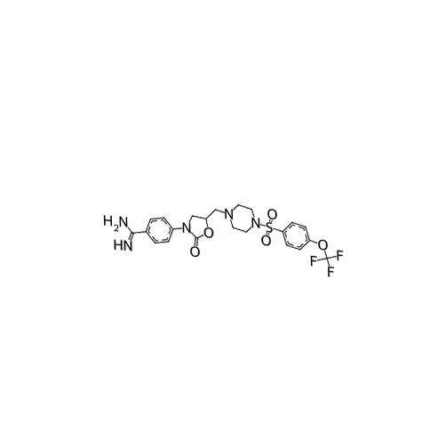 N=C(N)c1ccc(N2CC(CN3CCN(S(=O)(=O)c4ccc(OC(F)(F)F)cc4)CC3)OC2=O)cc1